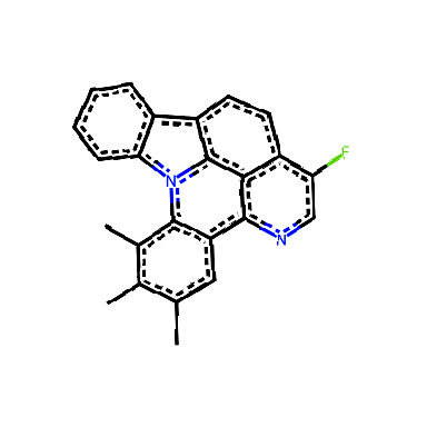 Cc1cc2c3ncc(F)c4ccc5c6ccccc6n(c2c(C)c1C)c5c43